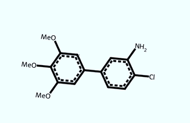 COc1[c]c(-c2ccc(Cl)c(N)c2)cc(OC)c1OC